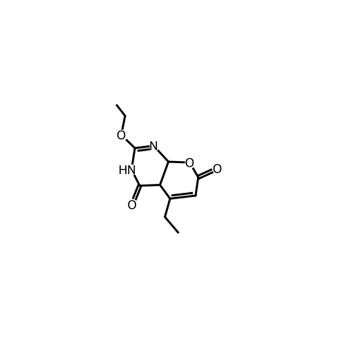 CCOC1=NC2OC(=O)C=C(CC)C2C(=O)N1